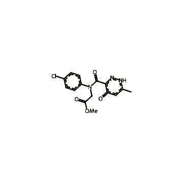 COC(=O)CN(C(=O)c1n[nH]c(C)cc1=O)c1ccc(Cl)cc1